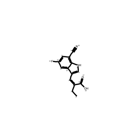 CCC(=Cc1c[nH]c2c(C#N)cc(F)cc12)C(=O)O